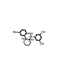 CC(C)(C)c1ccc2c(c1)[C@H]1OCCC[C@H]1[C@H](c1cc(O)cc(O)c1)N2